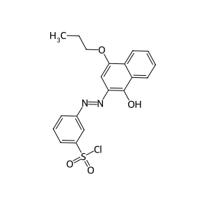 CCCOc1cc(N=Nc2cccc(S(=O)(=O)Cl)c2)c(O)c2ccccc12